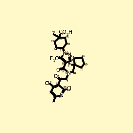 Cc1cc(Cl)c(C(=O)CN(CC2(F)CCCC2)C(=O)c2cnn(C3CCC(C)(C(=O)O)CC3)c2C(F)(F)F)c(Cl)n1